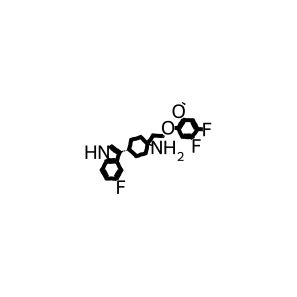 COc1cc(F)c(F)cc1OCC[C@]1(N)CC[C@@H](c2c[nH]c3ccc(F)cc32)CC1